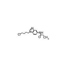 CCC(=O)Nc1ccc2c(c1)ncn2CCCCCl